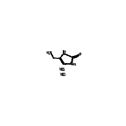 Cl.Cl.NCc1c[nH]c(=O)[nH]1